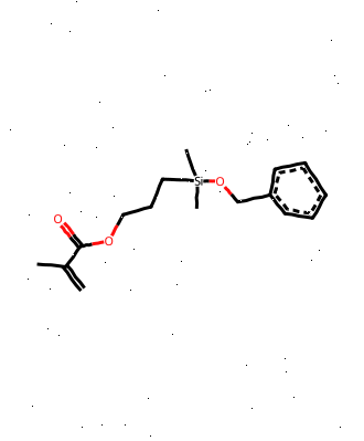 C=C(C)C(=O)OCCC[Si](C)(C)OCc1ccccc1